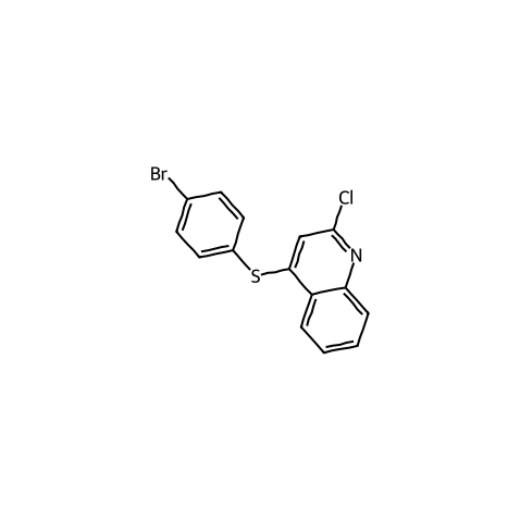 Clc1cc(Sc2ccc(Br)cc2)c2ccccc2n1